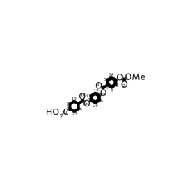 COC(=O)Oc1ccc(C(=O)Oc2ccc(OC(=O)C3CCC(C(=O)O)CC3)cc2)cc1